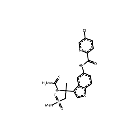 CNS(=O)(=O)CC(C)(NC(N)=S)c1csc2ccc(NC(=O)c3ccc(Cl)cn3)cc12